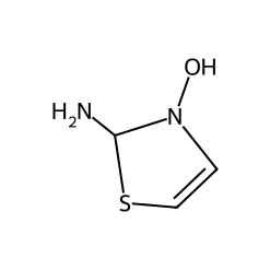 NC1SC=CN1O